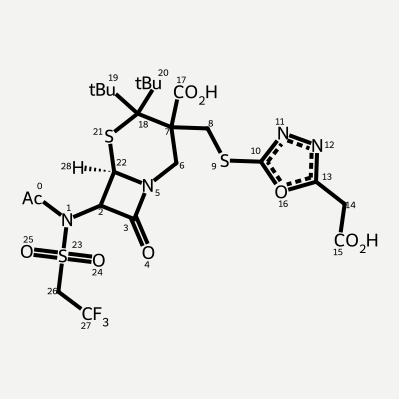 CC(=O)N(C1C(=O)N2CC(CSc3nnc(CC(=O)O)o3)(C(=O)O)C(C(C)(C)C)(C(C)(C)C)S[C@H]12)S(=O)(=O)CC(F)(F)F